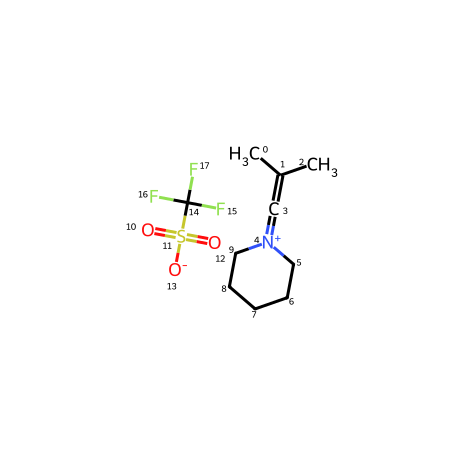 CC(C)=C=[N+]1CCCCC1.O=S(=O)([O-])C(F)(F)F